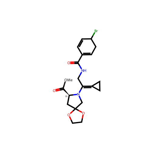 COC(=O)[C@@H]1CC2(CN1C(CNC(=O)C1=CCC(Br)C=C1)=C1CC1)OCCO2